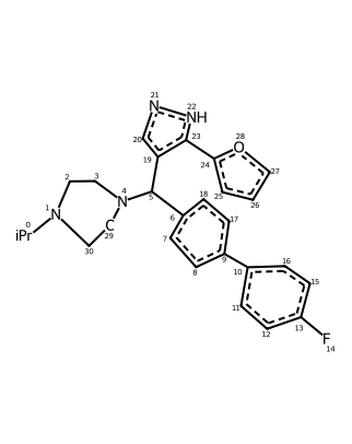 CC(C)N1CCN(C(c2ccc(-c3ccc(F)cc3)cc2)c2cn[nH]c2-c2ccco2)CC1